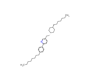 CCCCCCCCc1ccc(-c2ccc(CC[C@H]3CC[C@H](CCCCCCC)CC3)cn2)cc1